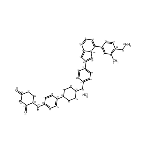 Cc1cc(-c2ccnc3cc(-c4ccc(CN5CCC(c6ccc(NC7CCC(=O)NC7=O)cc6)CC5)cc4)nn23)ccc1CN.Cl